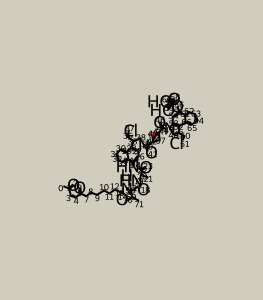 CC(=O)/C=C\C(=O)CCCCCCC(=O)NC(C(=O)NC(C)C(=O)Nc1cc2c(c3ccccc13)C(CCl)CN2C(=O)C12CC(C(=O)N3CC(CCl)c4c3cc(OP(=O)(O)O)c3ccccc43)(C1)C2)C(C)C